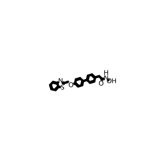 O=C(Cc1ccc(-c2ccc(OCc3nc4ccccc4s3)cc2)cc1)NO